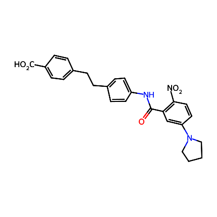 O=C(O)c1ccc(CCc2ccc(NC(=O)c3cc(N4CCCC4)ccc3[N+](=O)[O-])cc2)cc1